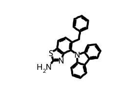 Nc1nc2c(-n3c4ccccc4c4ccccc43)c(Cc3ccccc3)ccc2s1